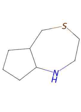 C1CC2CSCCNC2C1